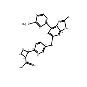 Cc1nc2c(-c3cccc(Cl)c3)cc(Cc3ccc(N4CCC4C(=O)O)nc3)cc2s1.Cl